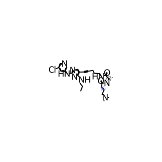 CCCNc1nc(Nc2cncc(Cl)c2)ncc1C#CCCCNC(=O)[C@H](C)N(C)C(=O)/C=C/CN(C)C